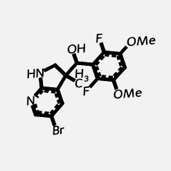 COc1cc(OC)c(F)c(C(O)C2(C)CNc3ncc(Br)cc32)c1F